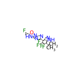 C=C(C)c1c(F)c(C(F)(F)F)c(-c2cn3cc(NC(=O)C4CC4F)nc3cn2)c2cn[nH]c12